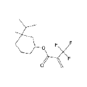 C=C(C(=O)OC1CCCC(C)(C(C)C)C1)C(F)(F)F